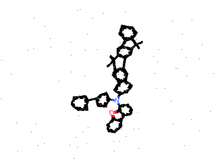 CC1(C)c2ccccc2-c2cc3c(cc21)-c1cc2ccc(N(c4ccc(-c5ccccc5)cc4)c4cccc5c4oc4ccccc45)cc2cc1C3(C)C